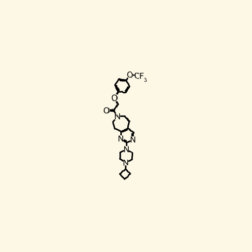 O=C(COc1ccc(OC(F)(F)F)cc1)N1CCc2cnc(N3CCN(C4CCC4)CC3)nc2CC1